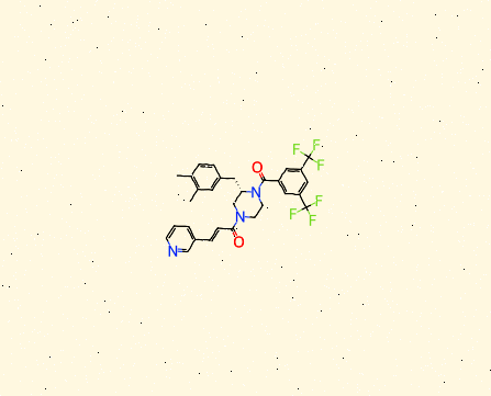 Cc1ccc(C[C@H]2CN(C(=O)/C=C/c3cccnc3)CCN2C(=O)c2cc(C(F)(F)F)cc(C(F)(F)F)c2)cc1C